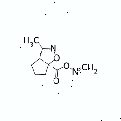 C=NOC(=O)C12CCCC1C(C)=NO2